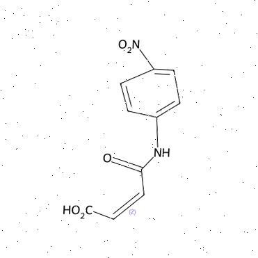 O=C(O)/C=C\C(=O)Nc1ccc([N+](=O)[O-])cc1